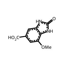 COc1cc(C(=O)O)cc2[nH]c(=O)[nH]c12